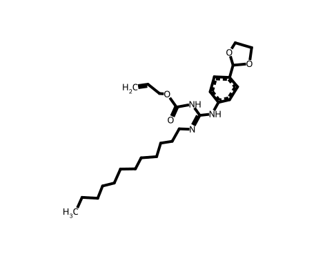 C=CCOC(=O)N/C(=N\CCCCCCCCCCCC)Nc1ccc(C2OCCO2)cc1